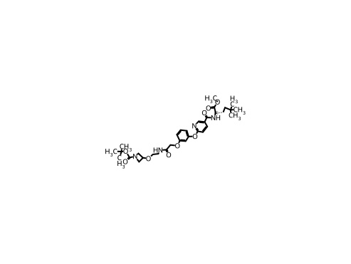 COC(=O)[C@H](CCC(C)(C)C)NC(=O)c1ccc(Oc2cccc(OCC(=O)NCCOC3CN(C(=O)OC(C)(C)C)C3)c2)nc1